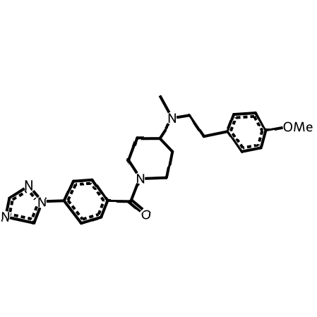 COc1ccc(CCN(C)C2CCN(C(=O)c3ccc(-n4cncn4)cc3)CC2)cc1